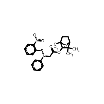 CC12CCC(O1)C(C)(C)C2OC(=O)CN(Sc1ccccc1[N+](=O)[O-])c1ccccc1